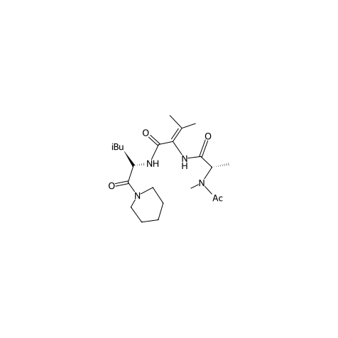 CC[C@H](C)[C@H](NC(=O)C(NC(=O)[C@H](C)N(C)C(C)=O)=C(C)C)C(=O)N1CCCCC1